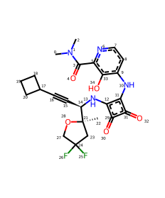 CN(C)C(=O)c1nccc(Nc2c(N[C@H](C#CC3CCC3)[C@@]3(C)CC(F)(F)CO3)c(=O)c2=O)c1O